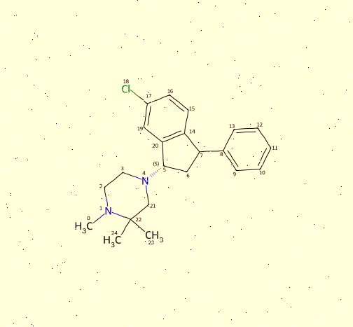 CN1CCN([C@H]2CC(c3ccccc3)c3ccc(Cl)cc32)CC1(C)C